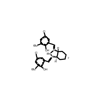 CC(C)(C)c1cc(Cl)cc(C=[N+]2[Mn][N+](=Cc3cc(Cl)cc(C(C)(C)C)c3O)[C@@H]3CCCC[C@H]32)c1O.[I-]